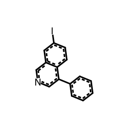 Ic1ccc2c(-c3ccccc3)cncc2c1